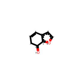 O=C1CC=Cc2ccoc21